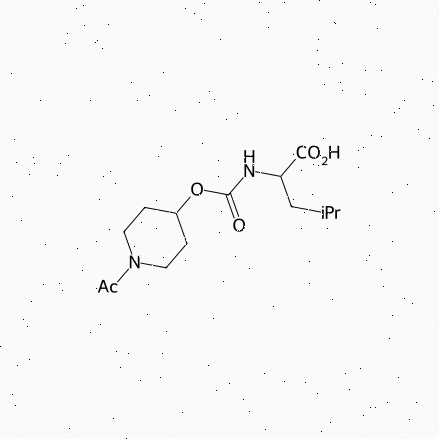 CC(=O)N1CCC(OC(=O)NC(CC(C)C)C(=O)O)CC1